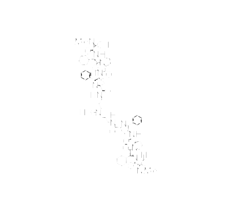 CN[C@@H](C)C(=O)N[C@H](C(=O)N1CCC[C@H]1C(=O)Nc1sc(C(=O)NCCCN(C)CCCNC(=O)C2=NC(c3ccccc3)C(NC(=O)[C@@H]3CCCN3C(=O)[C@@H](NC(=O)[C@H](C)NC)C3CCCCC3)S2)nc1-c1ccccc1)C1CCCCC1